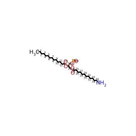 CCCCCCCCCCCCCC(=O)O[C@@H](COP=O)COC(=O)CCCCCCCCCCCN